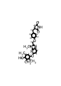 Cc1cc(Oc2ccc3nc(COc4ccc(CC5SC(=O)NC5=O)cc4)n(C)c3n2)c(C)c(C)c1O